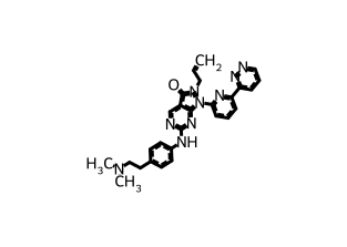 C=CCn1c(=O)c2cnc(Nc3ccc(CCN(C)C)cc3)nc2n1-c1cccc(-c2cccnn2)n1